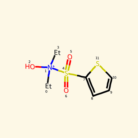 CC[N+](O)(CC)S(=O)(=O)c1cccs1